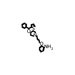 Nc1ccccc1OCC=CCN1CCC(OC(c2ccccc2)c2cccs2)CC1